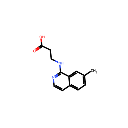 Cc1ccc2ccnc(NCCC(=O)O)c2c1